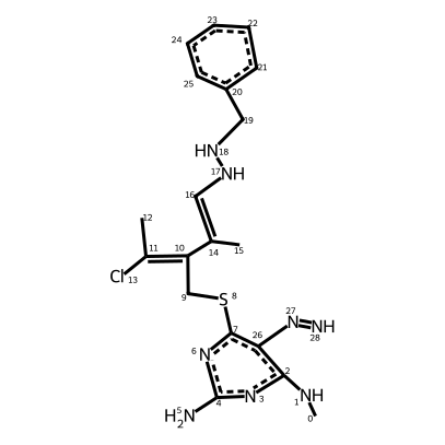 CNc1nc(N)nc(SCC(=C(/C)Cl)/C(C)=C/NNCc2ccccc2)c1N=N